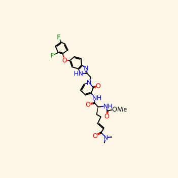 COC(=O)N[C@@H](CC/C=C/C(=O)N(C)C)C(=O)Nc1cccn(Cc2nc3ccc(Oc4ccc(F)cc4F)cc3[nH]2)c1=O